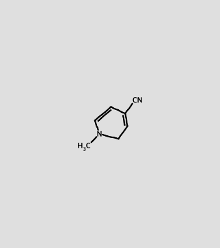 CN1C=CC(C#N)=CC1